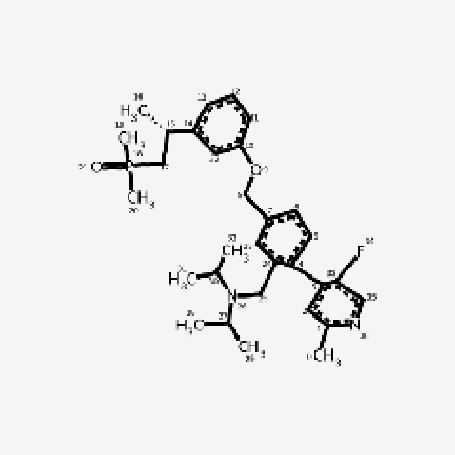 Cc1cc(-c2ccc(COc3cccc([C@@H](C)CP(C)(C)=O)c3)cc2CN(C(C)C)C(C)C)c(F)cn1